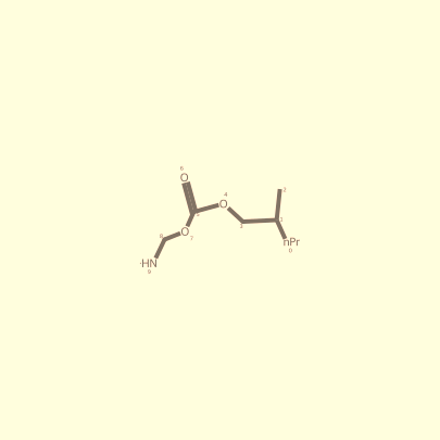 CCCC(C)COC(=O)OC[NH]